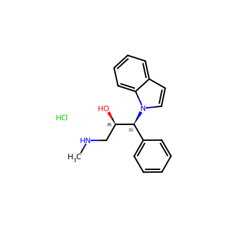 CNC[C@@H](O)[C@H](c1ccccc1)n1ccc2ccccc21.Cl